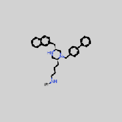 CC(C)NCCCC[C@H]1CN[C@@H](Cc2ccc3ccccc3c2)CN1Cc1ccc(-c2ccccc2)cc1